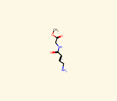 COC(=O)CNC(=O)/C=C/CN